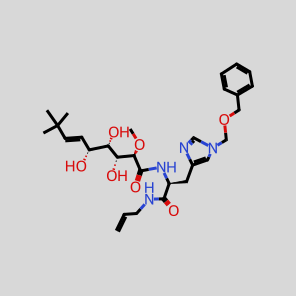 C=CCNC(=O)[C@H](Cc1cn(COCc2ccccc2)cn1)NC(=O)[C@H](OC)[C@H](O)[C@@H](O)[C@H](O)/C=C/C(C)(C)C